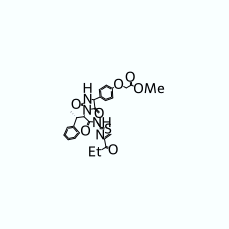 CCC(=O)c1csc(NC(=O)[C@H]([C@@H](C)c2ccccc2)N2C(=O)NC(c3ccc(OCC(=O)OC)cc3)C2=O)n1